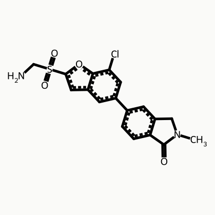 CN1Cc2cc(-c3cc(Cl)c4oc(S(=O)(=O)CN)cc4c3)ccc2C1=O